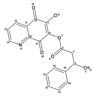 CC(CC(=O)OC1=C(Cl)C(=O)c2cccnc2C1=O)c1ccccc1